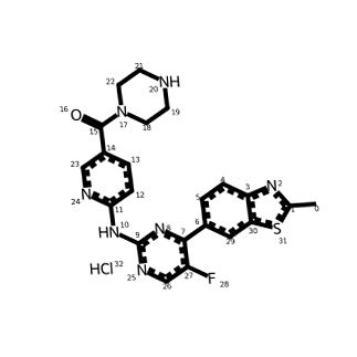 Cc1nc2ccc(-c3nc(Nc4ccc(C(=O)N5CCNCC5)cn4)ncc3F)cc2s1.Cl